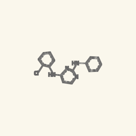 Clc1ccccc1Nc1ccnc(Nc2ccccc2)n1